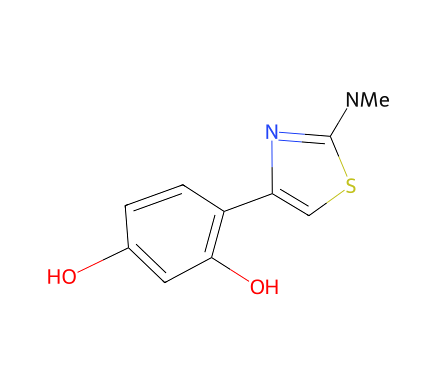 CNc1nc(-c2ccc(O)cc2O)cs1